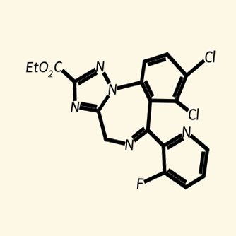 CCOC(=O)c1nc2n(n1)-c1ccc(Cl)c(Cl)c1C(c1ncccc1F)=NC2